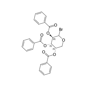 O=C(O[C@H]1[C@@H](OC(=O)c2ccccc2)COC(Br)[C@@H]1OC(=O)c1ccccc1)c1ccccc1